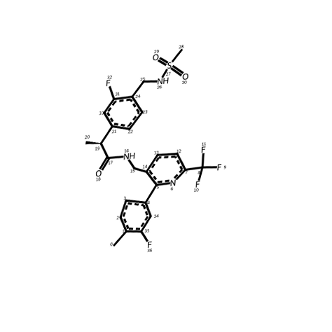 Cc1ccc(-c2nc(C(F)(F)F)ccc2CNC(=O)[C@@H](C)c2ccc(CNS(C)(=O)=O)c(F)c2)cc1F